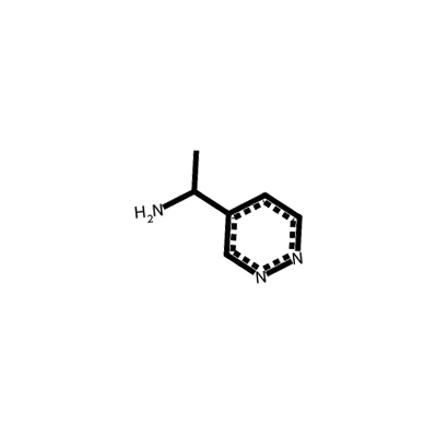 CC(N)c1ccnnc1